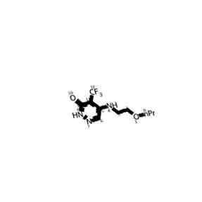 CCCOCCNc1cn[nH]c(=O)c1C(F)(F)F